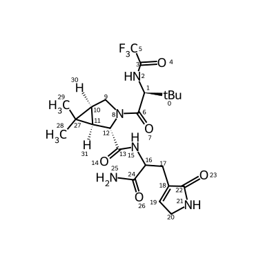 CC(C)(C)[C@H](NC(=O)C(F)(F)F)C(=O)N1C[C@H]2[C@@H]([C@H]1C(=O)NC(CC1=CCNC1=O)C(N)=O)C2(C)C